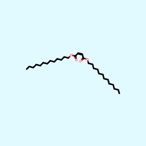 CCCCCCCCCCCCCOC(=O)/C=C\C(=O)OCCCCCCCCCCCCC